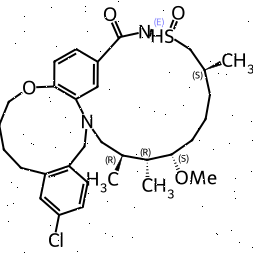 CO[C@H]1CCC[C@H](C)C/[SH](=O)=N\C(=O)c2ccc3c(c2)N(Cc2ccc(Cl)cc2CCCCO3)C[C@H](C)[C@H]1C